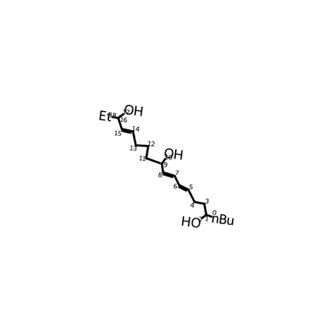 CCCCC(O)CCC=CC=CC(O)CCCC=CC(O)CC